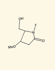 COC1CC(=O)N(F)C1CO